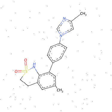 Cc1cc2c(c(-c3ccc(-n4cnc(C)c4)cc3)c1)NS(=O)(=O)CC2